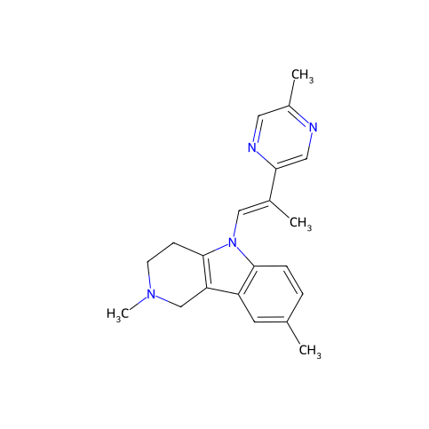 CC(=Cn1c2c(c3cc(C)ccc31)CN(C)CC2)c1cnc(C)cn1